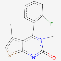 Cc1csc2nc(=O)n(C)c(-c3ccccc3F)c12